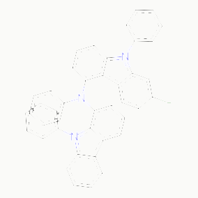 Fc1ccc2c3c(N(c4ccccc4)c4cccc5c6ccccc6n(-c6ccccc6)c45)cccc3n(-c3ccccc3)c2c1